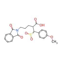 COc1ccc(C(C(CCCN2C(=O)c3ccccc3C2=O)C(=O)O)=S(=O)=O)cc1